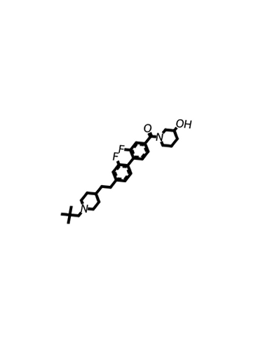 CC(C)(C)CN1CCC(CCc2ccc(-c3ccc(C(=O)N4CCCC(O)C4)cc3F)c(F)c2)CC1